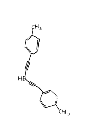 Cc1ccc(C#CBC#Cc2ccc(C)cc2)cc1